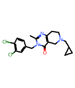 Cc1nc2c(c(=O)n1Cc1ccc(Cl)c(Cl)c1)CN(CC1CC1)CC2